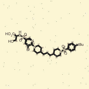 CC(C)(C)c1ccc(S(=O)(=O)N2CCC(CCCC3CCN(c4ncc(S(=O)(=O)NC(CO)C(=O)O)cc4Br)CC3)CC2)cc1